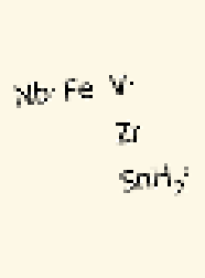 [Fe].[Nb].[SnH2].[V].[Zr]